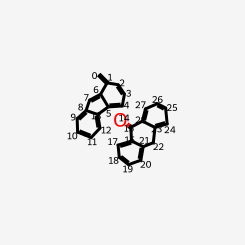 C=c1cccc2c1=Cc1ccccc1-2.O=C1c2ccccc2Cc2ccccc21